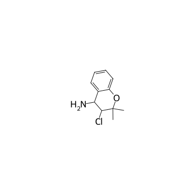 CC1(C)Oc2ccccc2C(N)C1Cl